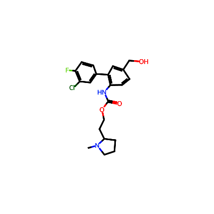 CN1CCCC1CCOC(=O)Nc1ccc(CO)cc1-c1ccc(F)c(Cl)c1